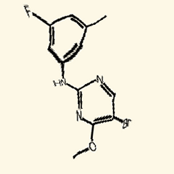 COc1nc(Nc2cc(C)cc(F)c2)ncc1Br